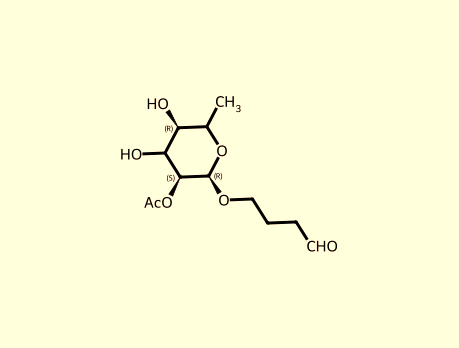 CC(=O)O[C@H]1C(O)[C@@H](O)C(C)O[C@H]1OCCCC=O